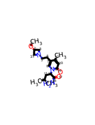 COC1CN(CCc2cn(C(CC(C)C)C(N)=O)c(=O)cc2C)C1